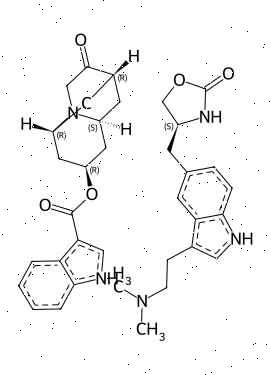 CN(C)CCc1c[nH]c2ccc(C[C@H]3COC(=O)N3)cc12.O=C(O[C@@H]1C[C@@H]2C[C@@H]3C[C@H](C1)N2CC3=O)c1c[nH]c2ccccc12